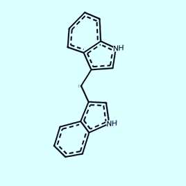 [C](c1c[nH]c2ccccc12)c1c[nH]c2ccccc12